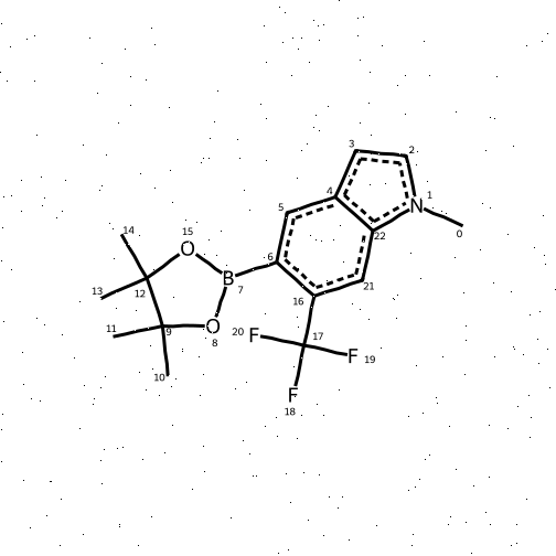 Cn1ccc2cc(B3OC(C)(C)C(C)(C)O3)c(C(F)(F)F)cc21